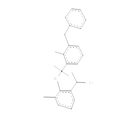 CCC(C)(Pc1c(C)cccc1C(C)O)c1cccc(Cc2ccccc2)c1O